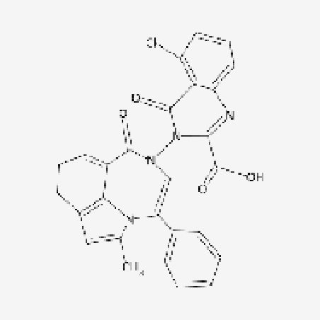 Cc1cc2c3n1C(c1ccccc1)=CN(n1c(C(=O)O)nc4cccc(Cl)c4c1=O)C(=O)C3=CCC2